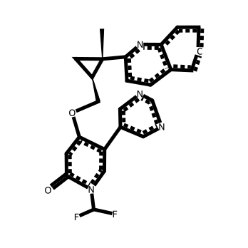 C[C@]1(c2ccc3ccccc3n2)C[C@@H]1COc1cc(=O)n(C(F)F)cc1-c1cncnc1